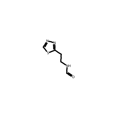 O=CNCCc1nncs1